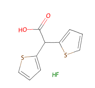 F.O=C(O)C(c1cccs1)c1cccs1